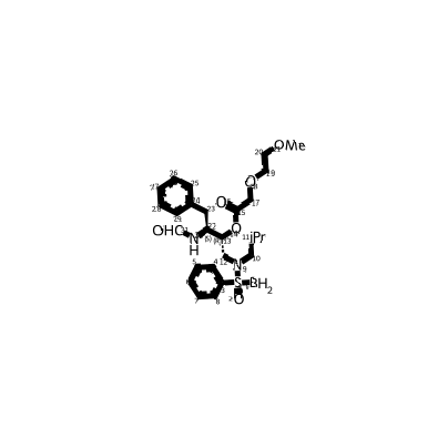 B[SH](=O)(c1ccccc1)N(CC(C)C)C[C@@H](OC(=O)COCCOC)[C@H](Cc1ccccc1)NC=O